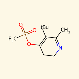 CC1=NCCC(OS(=O)(=O)C(F)(F)F)=C1C(C)(C)C